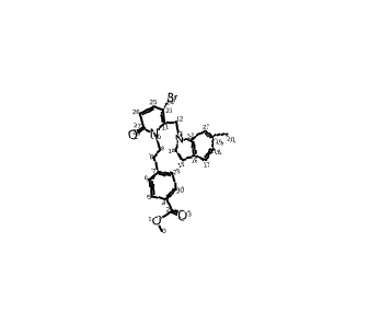 COC(=O)c1ccc(CCn2c(CN3CCc4ccc(C)cc43)c(Br)ccc2=O)cc1